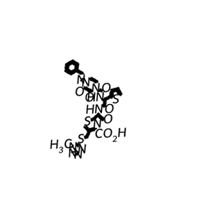 Cn1nnnc1SCC1=C(C(=O)O)N2C(=O)[C@H](NC(=O)C(NC(=O)N3CCN(/N=C/c4ccccc4)C(=O)C3=O)c3cccs3)C2SC1